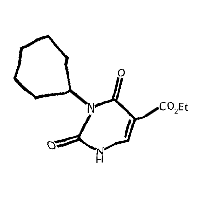 CCOC(=O)c1c[nH]c(=O)n(C2CCCCC2)c1=O